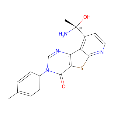 Cc1ccc(-n2cnc3c(sc4nccc([C@](C)(N)O)c43)c2=O)cc1